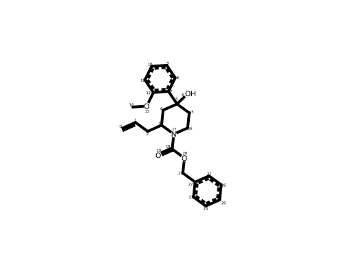 C=CCC1CC(O)(c2ccccc2OC)CCN1C(=O)OCc1ccccc1